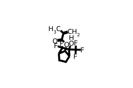 C=C(C)C(=O)OC1C2CCC1C(O)(C(F)(F)F)C2(F)F